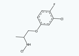 CC(COc1ccc(F)c(Cl)c1)NCl